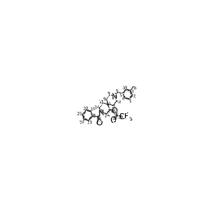 Cc1cccc(CN2CCC3(CC2)CCN(C(=O)c2ccccc2)CC3OC(=O)C(F)(F)F)c1